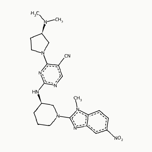 CN(C)[C@@H]1CCN(c2nc(N[C@@H]3CCCN(c4nc5cc([N+](=O)[O-])ccc5n4C)C3)ncc2C#N)C1